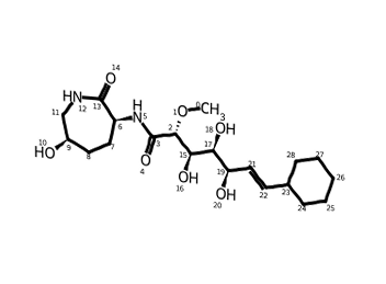 CO[C@@H](C(=O)N[C@H]1CC[C@@H](O)CNC1=O)[C@H](O)[C@@H](O)[C@H](O)/C=C/C1CCCCC1